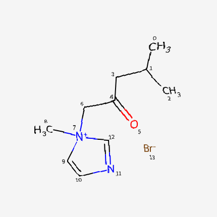 CC(C)CC(=O)C[N+]1(C)C=CN=C1.[Br-]